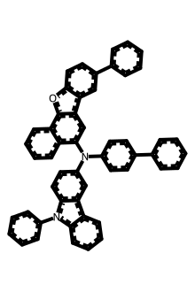 c1ccc(-c2ccc(N(c3ccc4c(c3)c3ccccc3n4-c3ccccc3)c3cc4c5cc(-c6ccccc6)ccc5oc4c4ccccc34)cc2)cc1